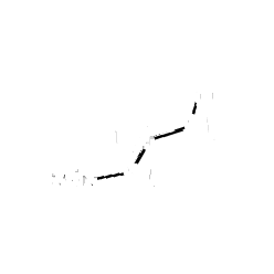 CCC[SiH2][SiH2][SiH2]NC